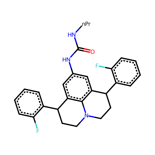 CCCNC(=O)Nc1cc2c3c(c1)C(c1ccccc1F)CCN3CCC2c1ccccc1F